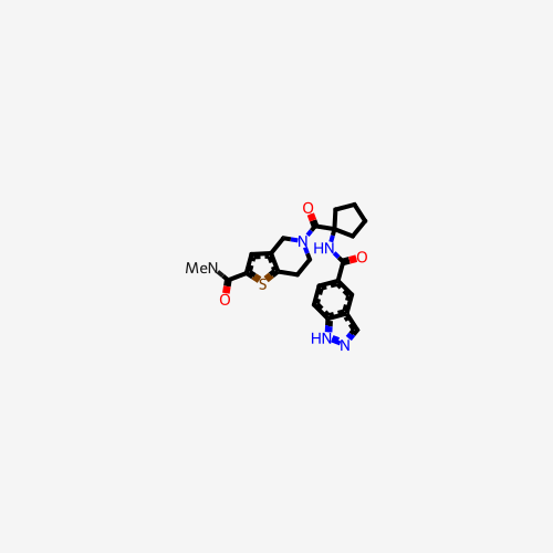 CNC(=O)c1cc2c(s1)CCN(C(=O)C1(NC(=O)c3ccc4[nH]ncc4c3)CCCC1)C2